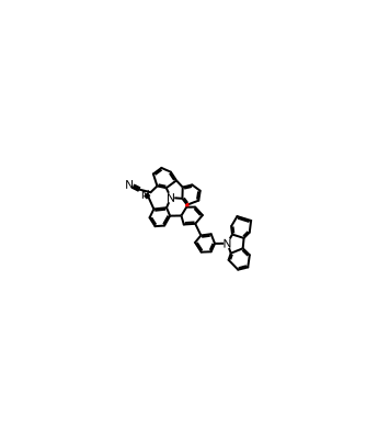 N#CCc1cccc2c3ccccc3n(-c3c(C#N)cccc3C3C=C(c4cccc(-n5c6ccccc6c6ccccc65)c4)C=CC3)c12